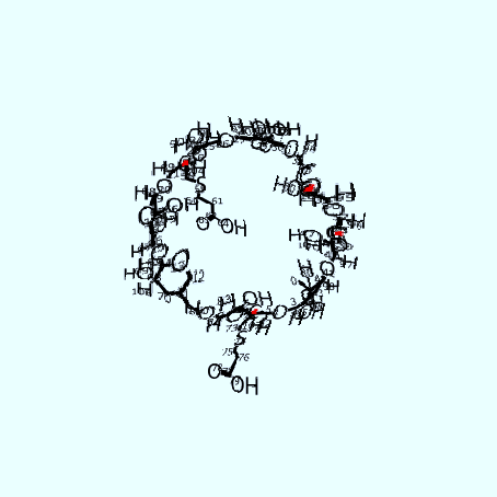 C[C@H]1O[C@@H]2O[C@H]3C[C@@H](O)[C@@H](O[C@@H]4CO[C@H](O[C@@H]5CO[C@H](O[C@H]6C[C@@H](O)[C@@H](O[C@@H]7CO[C@H](O[C@@H]8CO[C@H](O[C@@H]9CO[C@H](O[C@H]1C[C@H]2O)[C@H](O)C9)[C@H](O)C8)[C@H](O)[C@H]7O)O[C@@H]6CSCCC(=O)O)[C@H](O)C5)[C@H](O)C4)O[C@@H]3CSCCC(=O)O